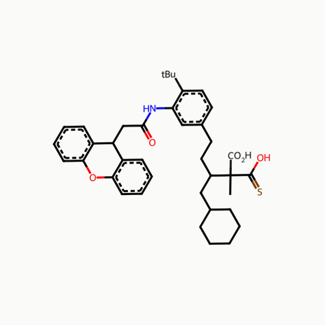 CC(C)(C)c1ccc(CCC(CC2CCCCC2)C(C)(C(=O)O)C(O)=S)cc1NC(=O)CC1c2ccccc2Oc2ccccc21